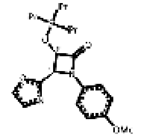 COc1ccc(N2C(=O)[C@H](O[Si](C(C)C)(C(C)C)C(C)C)[C@@H]2c2ncco2)cc1